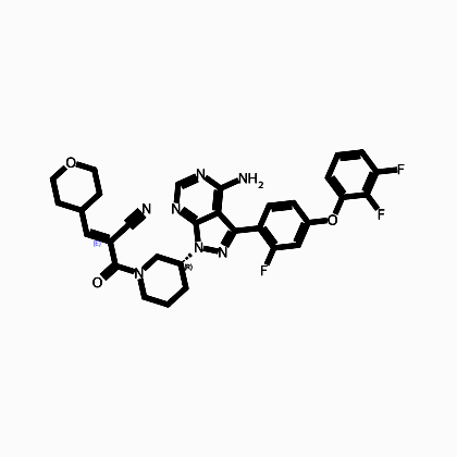 N#C/C(=C\C1CCOCC1)C(=O)N1CCC[C@@H](n2nc(-c3ccc(Oc4cccc(F)c4F)cc3F)c3c(N)ncnc32)C1